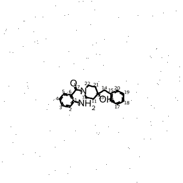 Nc1ccccc1C(=O)N1CCC(O)(Cc2ccccc2)CC1